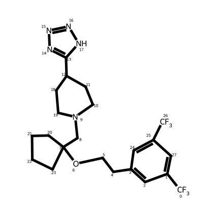 FC(F)(F)c1cc(CCOC2(CN3CCC(c4nnn[nH]4)CC3)CCCC2)cc(C(F)(F)F)c1